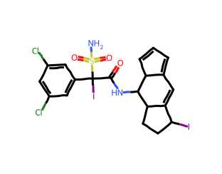 NS(=O)(=O)C(I)(C(=O)NC1C2C=CC=C2C=C2C(I)CCC21)c1cc(Cl)cc(Cl)c1